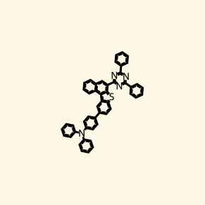 c1ccc(-c2nc(-c3ccccc3)nc(-c3cc4ccccc4c4c3sc3ccc(-c5ccc(N(c6ccccc6)c6ccccc6)cc5)cc34)n2)cc1